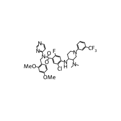 COc1ccc(CN(c2ccncn2)S(=O)(=O)c2cc(Cl)c(NC3CCN(c4cccc(C(F)(F)F)c4)CC3N(C)C)cc2F)c(OC)c1